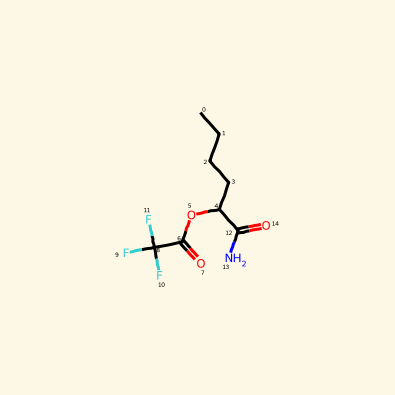 CCCCC(OC(=O)C(F)(F)F)C(N)=O